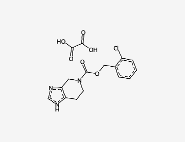 O=C(O)C(=O)O.O=C(OCc1ccccc1Cl)N1CCc2[nH]cnc2C1